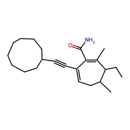 CCC1C(C)=C(C(N)=O)C(C#CC2CCCCCCCC2)=CCC1C